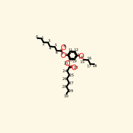 CCCCCCCC(=O)Oc1ccc(OCCCC)cc1OC(=O)CCCCCCC